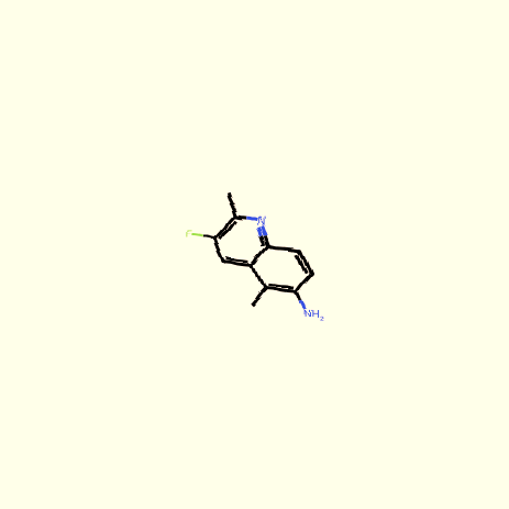 Cc1nc2ccc(N)c(C)c2cc1F